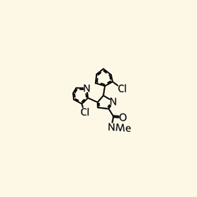 CNC(=O)C1=NC(c2ccccc2Cl)C(c2ncccc2Cl)=C1